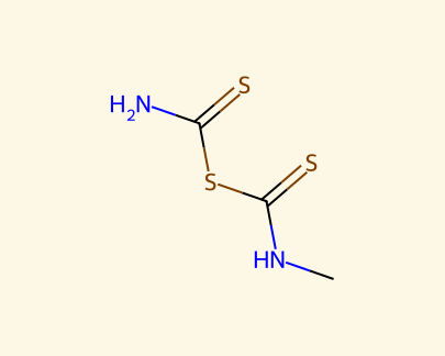 CNC(=S)SC(N)=S